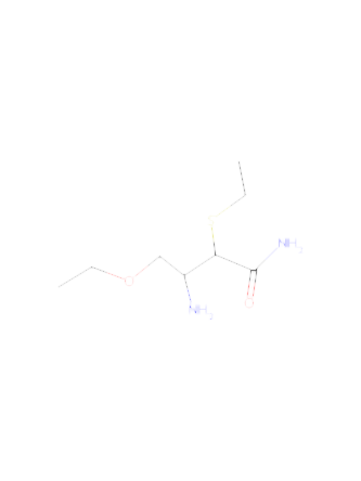 CCOCC(N)C(SCC)C(N)=O